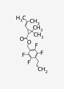 C=CCc1c(F)c(F)c(COC(=O)C2C(C=C(C)C)C2(C)C)c(F)c1F